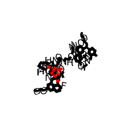 CCOC(=O)CC(c1ccc(C)c(CN2C[C@@H](C)Oc3cc(OCCNC(=O)[C@]4(COc5nc(N6C[C@H]7CC[C@@H](C6)N7C(=O)OC(C)(C)C)c6cnc(-c7cc(OCOC)cc8ccc(F)c(C#C[Si](C(C)C)(C(C)C)C(C)C)c78)c(F)c6n5)CCCN4C)ccc3S2(=O)=O)c1)c1cc(OC)c2c(c1)nnn2C